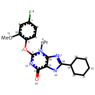 CCCn1c(Oc2ccc(F)cc2OC)nc(=O)c2c1N=C(C1CCCCC1)[N]2